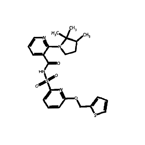 CC1CCN(c2ncccc2C(=O)NS(=O)(=O)c2cccc(OCc3cccs3)n2)C1(C)C